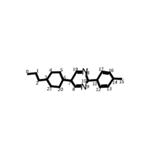 CCCC1CCC(C2C=NC(C3C=CC(C)C=C3)N=C2)CC1